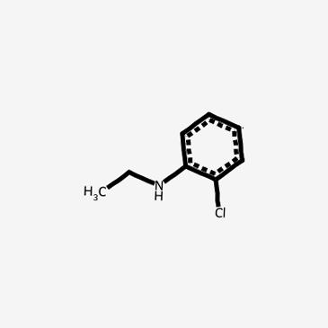 CCNc1cc[c]cc1Cl